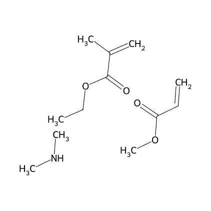 C=C(C)C(=O)OCC.C=CC(=O)OC.CNC